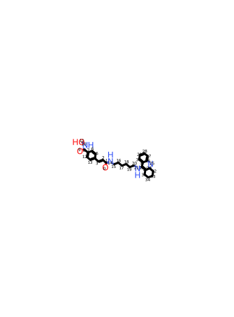 O=C(C=Cc1ccc(C(=O)NO)cc1)NCCCCCCNc1c2c(nc3ccccc13)CCCC2